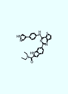 CCN(CC)C(=O)c1cc2ccc(-c3nc(Nc4ccc(-c5cn[nH]c5)cc4)c4sccc4n3)cc2[nH]1